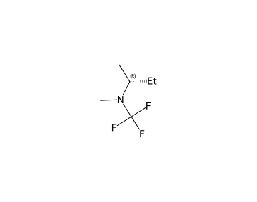 CC[C@@H](C)N(C)C(F)(F)F